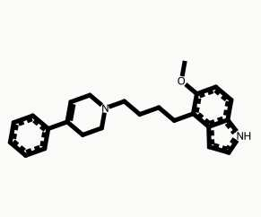 COc1ccc2[nH]ccc2c1CCCCN1CC=C(c2ccccc2)CC1